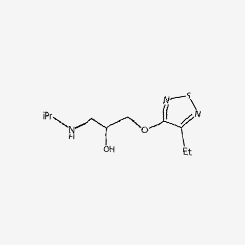 CCc1nsnc1OCC(O)CNC(C)C